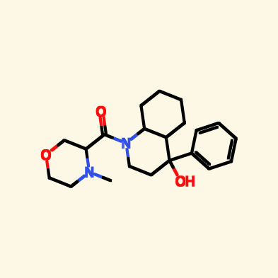 CN1CCOCC1C(=O)N1CCC(O)(c2ccccc2)C2CCCCC21